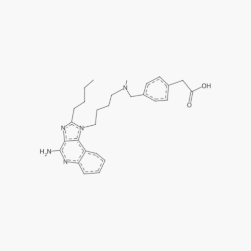 CCCCc1nc2c(N)nc3ccccc3c2n1CCCCN(C)Cc1ccc(CC(=O)O)cc1